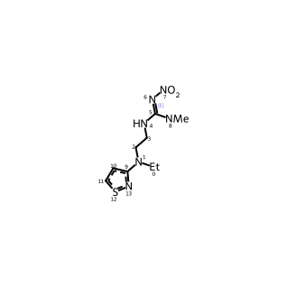 CCN(CCN/C(=N/[N+](=O)[O-])NC)c1ccsn1